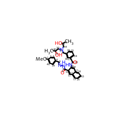 COc1ccc(C=NNC(=O)c2cc3ccccc3cc2NC(=O)c2cccc(CN(CC(C)O)CC(C)O)c2)cc1